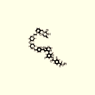 C=C1CCN(Cc2cccn(CCN3CCC(OC4CCN(Cc5ccc(-c6cc7c(-c8cc(F)cc(NC(=O)c9ccc(C(C)(C)OCC)cc9F)c8C)ncnc7[nH]6)cc5)CC4)CC3)c2=O)C(=O)N1